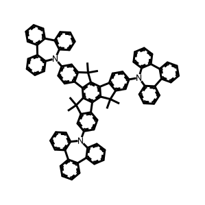 CC1(C)c2cc(N3c4ccccc4-c4ccccc4-c4ccccc43)ccc2-c2c1c1c(c3c2C(C)(C)c2cc(N4c5ccccc5-c5ccccc5-c5ccccc54)ccc2-3)C(C)(C)c2cc(N3c4ccccc4-c4ccccc4-c4ccccc43)ccc2-1